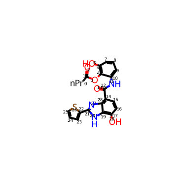 CCCC(=O)Oc1c(O)cccc1NC(=O)c1ccc(O)c2[nH]c(-c3cccs3)nc12